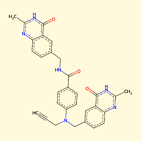 C#CCN(Cc1ccc2nc(C)[nH]c(=O)c2c1)c1ccc(C(=O)NCc2ccc3nc(C)[nH]c(=O)c3c2)cc1